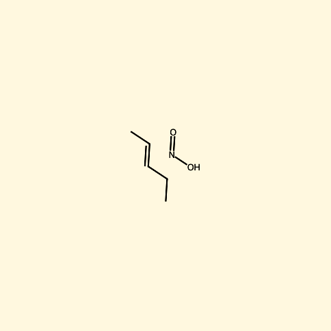 CC=CCC.O=NO